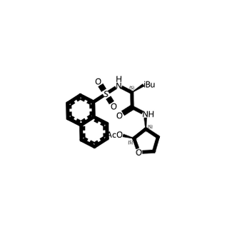 CCC(C)[C@H](NS(=O)(=O)c1cccc2ccccc12)C(=O)N[C@H]1CCO[C@H]1OC(C)=O